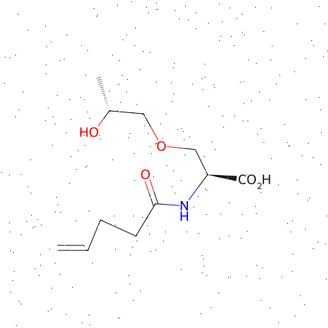 C=CCCC(=O)N[C@@H](COC[C@@H](C)O)C(=O)O